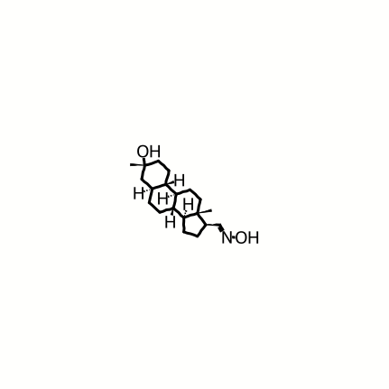 C[C@@]1(O)CC[C@H]2[C@@H](CC[C@@H]3[C@@H]2CC[C@]2(C)[C@@H](/C=N/O)CC[C@@H]32)C1